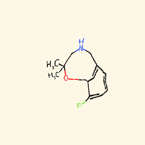 CC1(C)CNCC2=CC(O1)C(F)=CC=C2